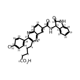 O=C(O)CCCCc1nc2cc(C(=O)NC3C(=O)Nc4ccccc43)ccc2nc1-c1ccc(Cl)cc1